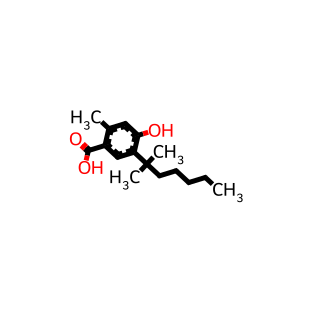 CCCCCC(C)(C)c1cc(C(=O)O)c(C)cc1O